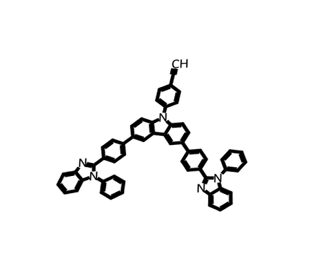 C#Cc1ccc(-n2c3ccc(-c4ccc(-c5nc6ccccc6n5-c5ccccc5)cc4)cc3c3cc(-c4ccc(-c5nc6ccccc6n5-c5ccccc5)cc4)ccc32)cc1